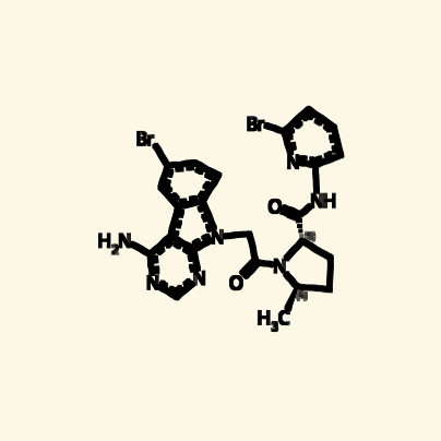 C[C@@H]1CC[C@@H](C(=O)Nc2cccc(Br)n2)N1C(=O)Cn1c2ccc(Br)cc2c2c(N)ncnc21